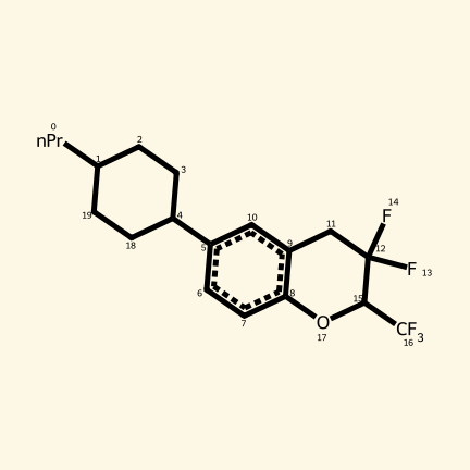 CCCC1CCC(c2ccc3c(c2)CC(F)(F)C(C(F)(F)F)O3)CC1